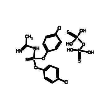 CC(=N)NP(=S)(Oc1ccc(Cl)cc1)Oc1ccc(Cl)cc1.OP(O)(=S)OP(O)(O)=S